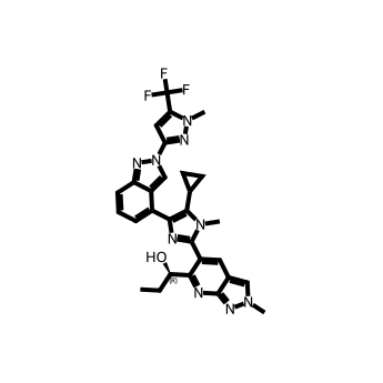 CC[C@@H](O)c1nc2nn(C)cc2cc1-c1nc(-c2cccc3nn(-c4cc(C(F)(F)F)n(C)n4)cc23)c(C2CC2)n1C